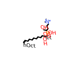 CCCCCCCC/C=C\CCCCCCCCC(O)(CC)OP(=O)(O)C(CO)CCC[N+](C)(C)C